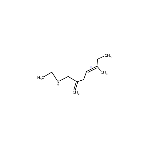 C=C(C/C=C(\C)CC)CNCC